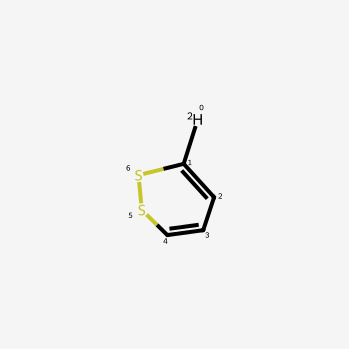 [2H]C1=CC=CSS1